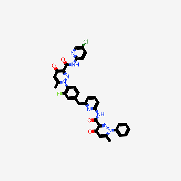 Cc1cc(=O)c(C(=O)Nc2cccc(Cc3ccc(-n4nc(C(=O)Nc5ccc(Cl)cn5)c(=O)cc4C)c(F)c3)n2)nn1-c1ccccc1